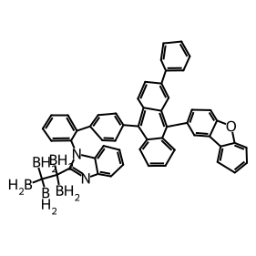 BC(B)(B)C(B)(B)c1nc2ccccc2n1-c1ccccc1-c1ccc(-c2c3ccccc3c(-c3ccc4oc5ccccc5c4c3)c3cc(-c4ccccc4)ccc23)cc1